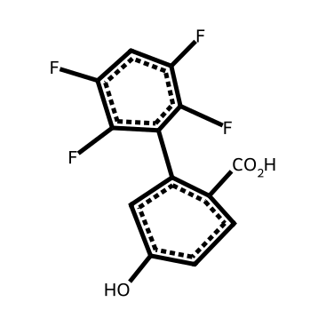 O=C(O)c1ccc(O)cc1-c1c(F)c(F)cc(F)c1F